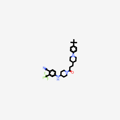 CC(C)(C)c1ccc(N2CCC(CCC(=O)N3CCC(Nc4ccc(C#N)c(C(F)(F)F)c4)CC3)CC2)cc1